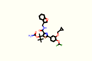 CC(C)(C)C(C)(OC(N)=O)c1sc(-c2ccc(OC(F)F)c(OCC3CC3)c2)nc1C(=O)NCc1coc2ccccc12